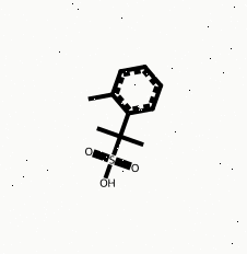 Cc1ccccc1C(C)(C)S(=O)(=O)O